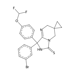 FC(F)Oc1ccc(C2(c3cccc(Br)c3)NC(=S)N3CC4(CC4)CN=C32)cc1